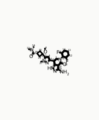 CO[C@]1(c2cc(-c3cn(-c4c(F)cccc4F)c(=O)c4c(N)n[nH]c34)nn2C)C[C@H](C(=O)N(C)C)C1